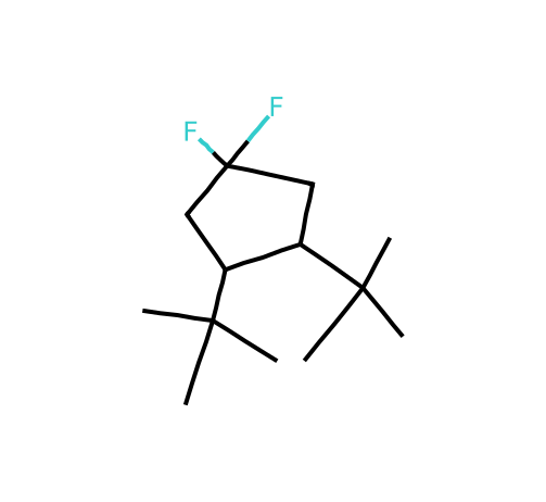 CC(C)(C)C1CC(F)(F)CC1C(C)(C)C